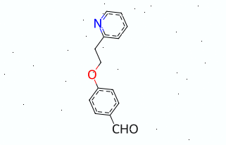 O=Cc1ccc(OCCc2ccccn2)cc1